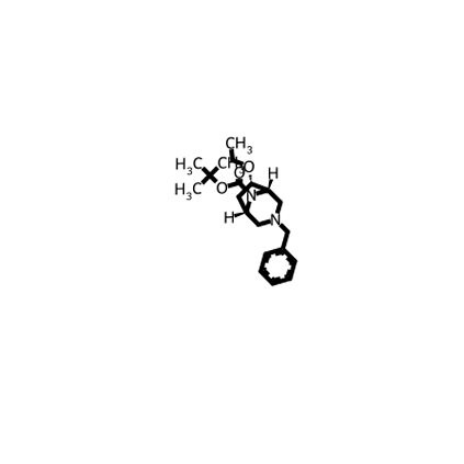 CCO[C@H]1C[C@H]2CN(Cc3ccccc3)C[C@@H]1N2C(=O)OC(C)(C)C